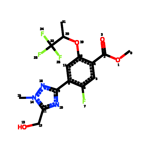 COC(=O)c1cc(F)c(-c2nc(CO)n(C)n2)cc1OC(C)C(F)(F)F